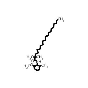 CCCCCCCCC=CCCCCCCCCC(C)(C)C(=O)Nc1c(C)cccc1OC